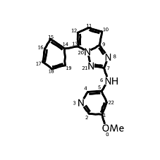 COc1cncc(Nc2nc3cccc(-c4ccccc4)n3n2)c1